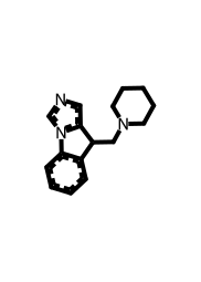 c1ccc2c(c1)C(CN1CCCCC1)c1cncn1-2